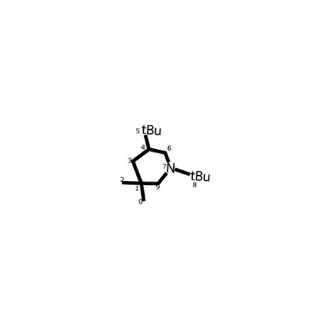 CC1(C)CC(C(C)(C)C)CN(C(C)(C)C)C1